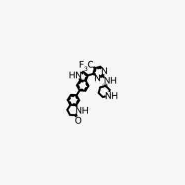 O=C1CCc2ccc(-c3ccc4c(-c5nc(N[C@H]6CCCNC6)ncc5C(F)(F)F)c[nH]c4c3)cc2N1